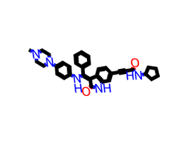 CN1CCN(c2ccc(N/C(=C3\C(=O)Nc4cc(C#CC(=O)NC5CCCC5)ccc43)c3ccccc3)cc2)CC1